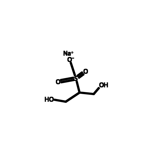 O=S(=O)([O-])C(CO)CO.[Na+]